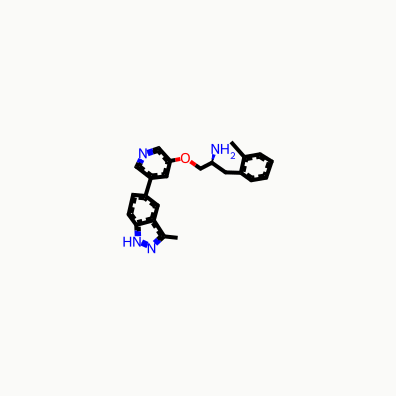 Cc1ccccc1C[C@H](N)COc1cncc(-c2ccc3[nH]nc(C)c3c2)c1